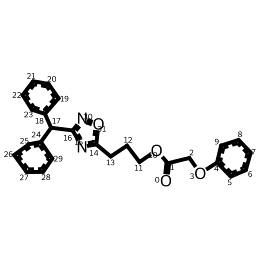 O=C(COc1ccccc1)OCCCc1nc(C(c2ccccc2)c2ccccc2)no1